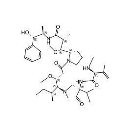 C=C(C)[C@H](NC)C(=O)N[C@@](C=O)(CN(C)[C@@H]([C@@H](C)CC)[C@@H](CC(=O)N1CCC[C@H]1[C@H](OC)[C@@H](C)C(=O)N[C@H](C)[C@@H](O)c1ccccc1)OC)C(C)C